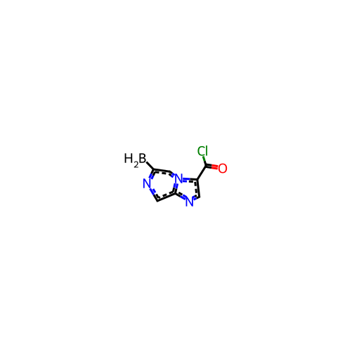 Bc1cn2c(C(=O)Cl)cnc2cn1